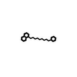 c1ccc(CCCCCCCCCc2cccc3ccccc23)cc1